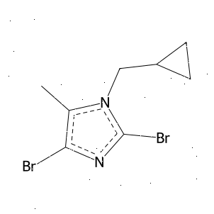 Cc1c(Br)nc(Br)n1CC1CC1